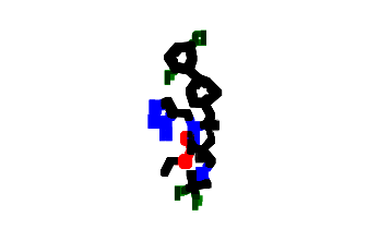 CCOC(=O)[C@@H](C[C@@H](Cc1ccc(-c2cc(Cl)ccc2F)cc1)NCc1cnn[nH]1)CN1CC(F)(F)C1